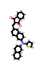 O=C1C(=Cc2ccc3cc(N(c4ccc5ccccc5c4)c4cccs4)ccc3c2)C(=O)c2ccccc21